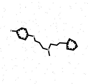 CN(CCCSc1ccc(F)cc1)CCCc1ccccc1